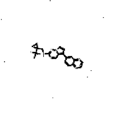 FC(F)(F)C1(CNc2ncc3c(-c4ccc5nccnc5c4)ccn3n2)CC1